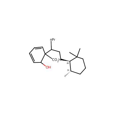 CCCC(CC[C@@H]1[C@@H](C)CCCC1(C)C)C1(C(=O)O)C=CC=CC1O